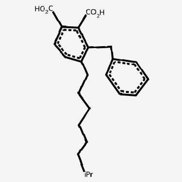 CC(C)CCCCCCc1ccc(C(=O)O)c(C(=O)O)c1Cc1ccccc1